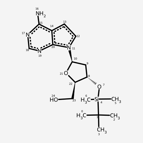 CC(C)(C)[Si](C)(C)O[C@H]1C[C@H](n2ccc3c(N)ncnc32)O[C@@H]1CO